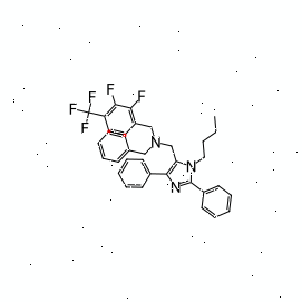 CCCCn1c(-c2ccccc2)nc(-c2ccccc2)c1CN(Cc1ccccc1)Cc1ccc(C(F)(F)F)c(F)c1F